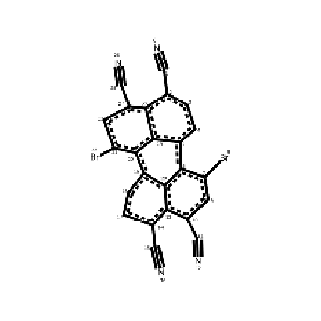 N#Cc1ccc2c3c(Br)cc(C#N)c4c(C#N)ccc(c5c(Br)cc(C#N)c1c25)c43